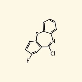 Fc1ccc2c(c1)C(Cl)=Nc1ccccc1S2